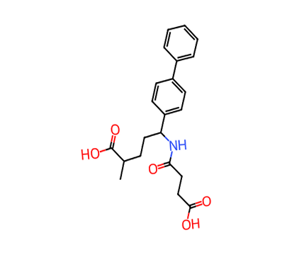 CC(CCC(NC(=O)CCC(=O)O)c1ccc(-c2ccccc2)cc1)C(=O)O